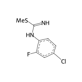 CSC(=N)Nc1ccc(Cl)cc1F